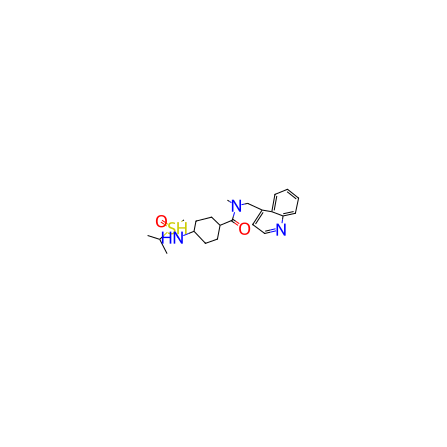 CC(C)[SH](C)(=O)NC1CCC(C(=O)N(C)Cc2ccnc3ccccc23)CC1